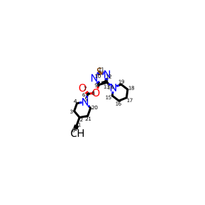 C#CC1CCN(C(=O)Oc2nsnc2N2CCCCC2)CC1